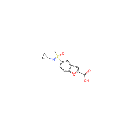 CS(=O)(=NC1CC1)c1ccc2oc(C(=O)O)cc2c1